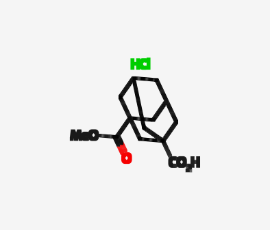 COC(=O)C12CC3CC(CC(C(=O)O)(C3)C1)C2.Cl